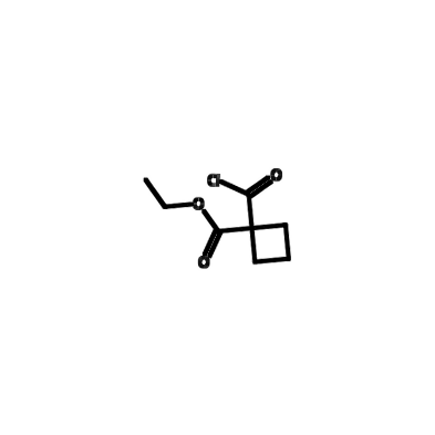 CCOC(=O)C1(C(=O)Cl)CCC1